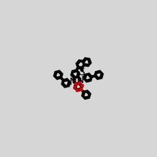 c1ccc(-c2ccc(N(c3cccc(-c4ccccc4)c3)c3ccc4c(sc5c6ccccc6ccc45)c3N(c3ccccc3)c3ccc(-c4ccccc4)cc3)cc2)cc1